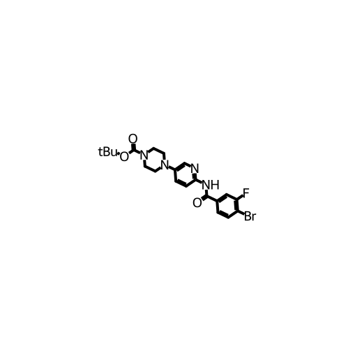 CC(C)(C)OC(=O)N1CCN(c2ccc(NC(=O)c3ccc(Br)c(F)c3)nc2)CC1